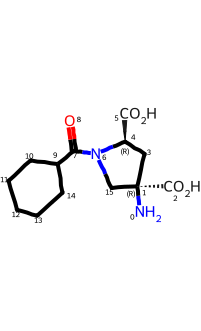 N[C@]1(C(=O)O)C[C@H](C(=O)O)N(C(=O)C2CCCCC2)C1